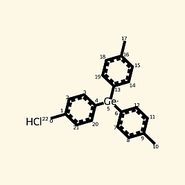 Cc1cc[c]([Ge]([c]2ccc(C)cc2)[c]2ccc(C)cc2)cc1.Cl